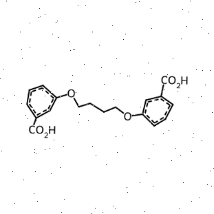 O=C(O)c1cccc(OCCCCOc2cccc(C(=O)O)c2)c1